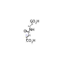 O=C(O)/C=C/C(=O)NCCC(=O)O